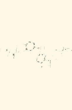 CC(C)(O)C(=O)N1CCc2ccc(Nc3ncc(C(F)(F)F)c(NC4CCC(N)CC4)n3)cc2C1